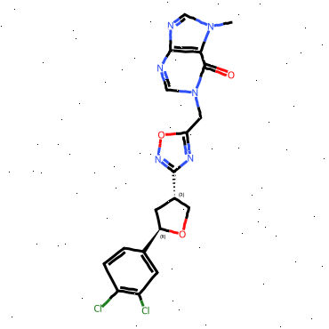 Cn1cnc2ncn(Cc3nc([C@@H]4CO[C@@H](c5ccc(Cl)c(Cl)c5)C4)no3)c(=O)c21